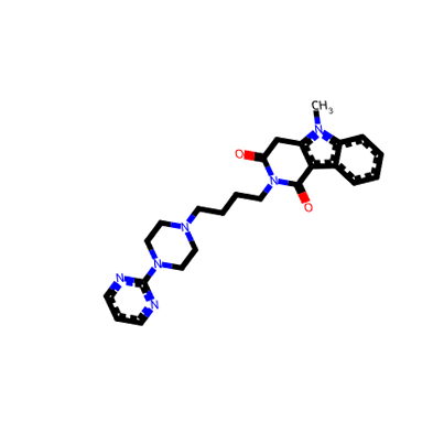 Cn1c2c(c3ccccc31)C(=O)N(CCCCN1CCN(c3ncccn3)CC1)C(=O)C2